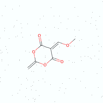 C=c1oc(=O)c(=COC)c(=O)o1